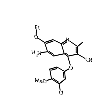 CCOc1cc2nc(C)c(C#N)c(Oc3ccc(OC)c(Cl)c3)c2cc1N